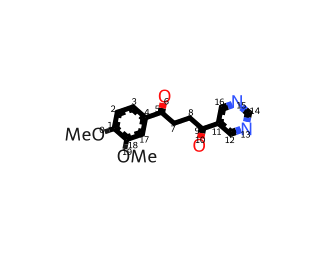 COc1ccc(C(=O)CCC(=O)c2cncnc2)cc1OC